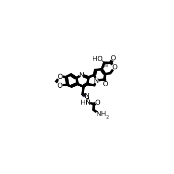 NCC(=O)N/N=C/c1c2c(nc3cc4c(cc13)OCO4)-c1cc3c(c(=O)n1C2)COC(=O)[C@H]3O